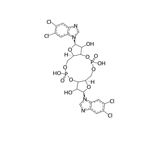 O=P1(O)OC[C@H]2O[C@@H](n3cnc4cc(Cl)c(Cl)cc43)C(O)C2OP(=O)(O)OC[C@H]2O[C@@H](n3cnc4cc(Cl)c(Cl)cc43)C(O)C2O1